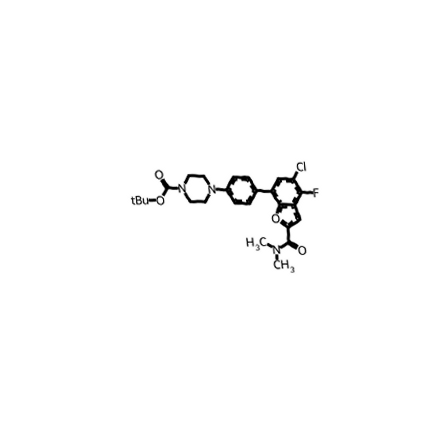 CN(C)C(=O)c1cc2c(F)c(Cl)cc(-c3ccc(N4CCN(C(=O)OC(C)(C)C)CC4)cc3)c2o1